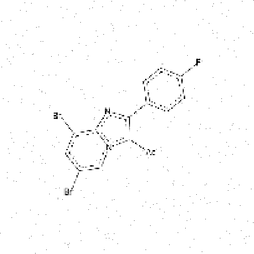 CC(=O)c1c(-c2ccc(F)cc2)nc2c(Br)cc(Br)cn12